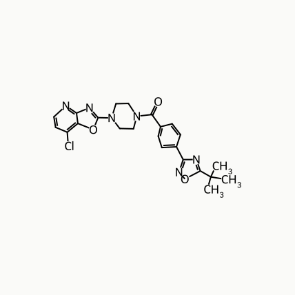 CC(C)(C)c1nc(-c2ccc(C(=O)N3CCN(c4nc5nccc(Cl)c5o4)CC3)cc2)no1